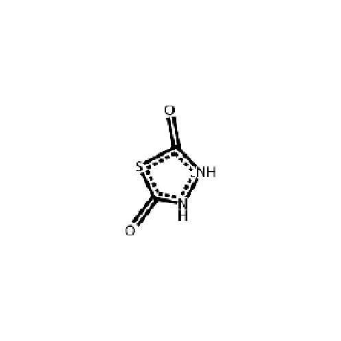 O=c1[nH][nH]c(=O)s1